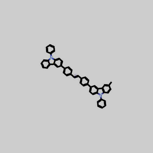 Cc1ccc2c(c1)c1cc(-c3ccc(/C=C/c4ccc(-c5ccc6c(c5)c5ccccc5n6-c5ccccc5)cc4)cc3)ccc1n2-c1ccccc1